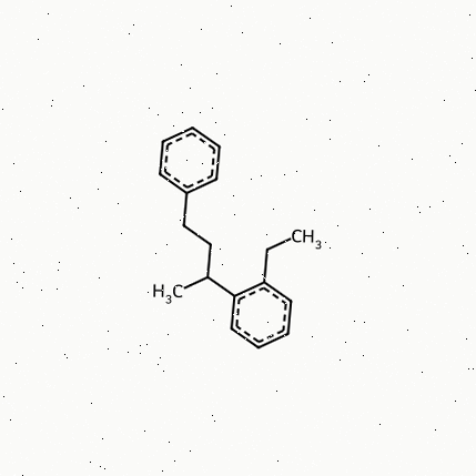 CCc1ccccc1C(C)CCc1ccccc1